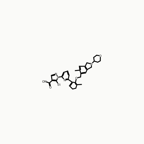 CCc1c(C(=O)N=O)cnn1-c1cccc(C2=CCCC(C)=C2OCc2cc3c(cc2C)CN(C2CCOCC2)C3)n1